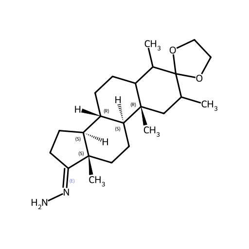 CC1C[C@@]2(C)C(CC[C@@H]3[C@@H]2CC[C@]2(C)/C(=N/N)CC[C@@H]32)C(C)C12OCCO2